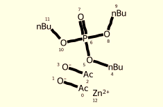 CC(=O)[O-].CC(=O)[O-].CCCCOP(=O)(OCCCC)OCCCC.[Zn+2]